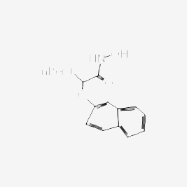 CCCCCC(Oc1ccc2ccccc2c1)C(=O)NO